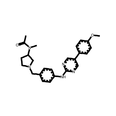 COc1ccc(-c2cnc(Nc3ccc(CN4CCC(N(C)C(C)=O)C4)cc3)nc2)cc1